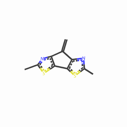 C=C1c2nc(C)sc2-c2sc(C)nc21